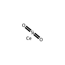 O=[Si]=O.[Ce]